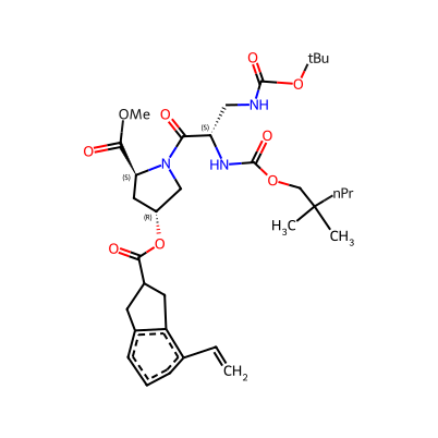 C=Cc1cccc2c1CC(C(=O)O[C@@H]1C[C@@H](C(=O)OC)N(C(=O)[C@H](CNC(=O)OC(C)(C)C)NC(=O)OCC(C)(C)CCC)C1)C2